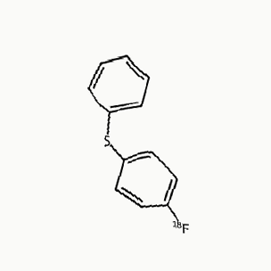 [18F]c1ccc(Sc2ccccc2)cc1